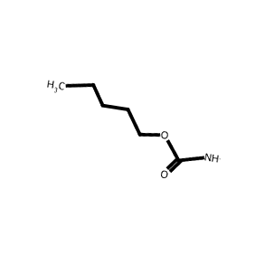 CCCCCOC([NH])=O